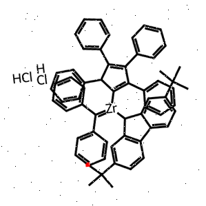 CC(C)(C)c1ccc2c(c1)[CH]([Zr]([C]1=C(c3ccccc3)C(c3ccccc3)=C(c3ccccc3)C1c1ccccc1)=[C](c1ccccc1)c1ccccc1)c1cc(C(C)(C)C)ccc1-2.Cl.Cl